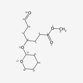 COC(=O)CCC(CCC=O)OC1CCCCO1